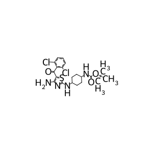 CC(C)(C)OC(=O)NC1CCC(Nc2nc(N)c(C(=O)c3c(Cl)cccc3Cl)s2)CC1